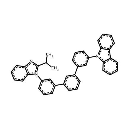 CC(C)c1nc2ccccc2n1-c1cccc(-c2cccc(-c3cccc(-n4c5ccccc5c5ccccc54)c3)c2)c1